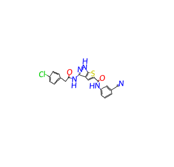 N#Cc1cccc(NC(=O)c2cc3c(NC(=O)Cc4ccc(Cl)cc4)n[nH]c3s2)c1